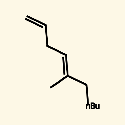 C=CC/C=C(\C)CCCCC